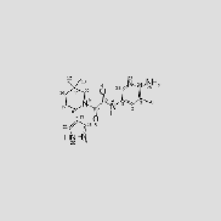 Cc1cc(NC(=O)C(=O)N2CC(C)(C)CC[C@H]2c2cn[nH]c2)cnc1N